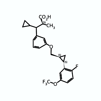 C[C@H](C(=O)O)C(c1cccc(OC[C@H]2C[C@@H]2c2cc(OC(F)(F)F)ccc2F)c1)C1CC1